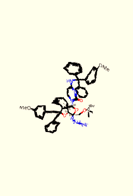 COc1ccc(C(Nc2ccn([C@@H]3O[C@@](CO[Si](C)(C)C(C)(C)C)(N=[N+]=[N-])[C@@H](OC(c4ccccc4)(c4ccccc4)c4ccc(OC)cc4)[C@@H]3C)c(=O)n2)(c2ccccc2)c2ccccc2)cc1